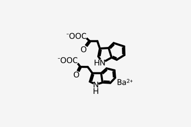 O=C([O-])C(=O)Cc1c[nH]c2ccccc12.O=C([O-])C(=O)Cc1c[nH]c2ccccc12.[Ba+2]